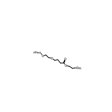 CCCCCCCCCCCCOC(=O)CCCOCCOCCCCC